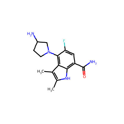 Cc1[nH]c2c(C(N)=O)cc(F)c(N3CCC(N)C3)c2c1C